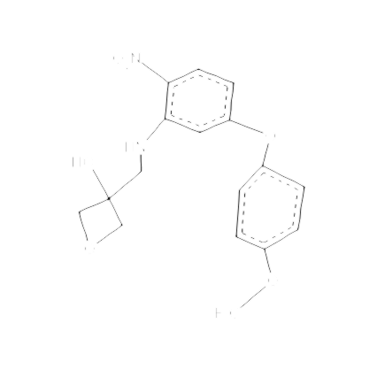 O=[N+]([O-])c1ccc(Oc2ccc(OC(F)(F)F)cc2)cc1NCC1(O)COC1